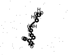 Cc1cc2c(-c3cccc4cc(-c5ccc(C(=O)NCC#Cc6cccc(NC7CCC(=O)NC7=O)c6)nc5)ncc34)cc(N3CCOCC3)cc2n(C)c1=O